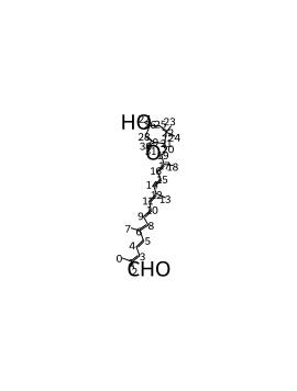 C\C(C=O)=C/C=C/C(C)=C/C=C/C=C(C)/C=C/C=C(\C)C1C=C2C(C)(C)CC(O)CC2(C)O1